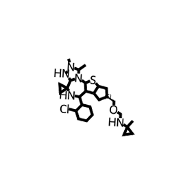 CC1N(C)NC2N1C1SC3C[C@@H](COCNC4(C)CC4)CC3C1C(C1CCCCC1Cl)NC21CC1